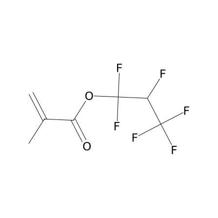 C=C(C)C(=O)OC(F)(F)C(F)C(F)(F)F